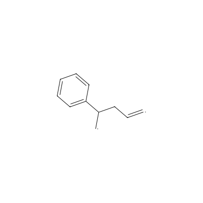 [CH]=CCC([CH2])c1ccccc1